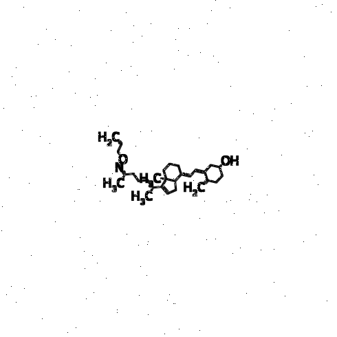 C=CCO/N=C(/C)CCCC(C)C1=CCC2/C(=C/C=C3/CC(O)CCC3=C)CCCC12C